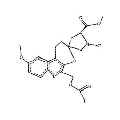 COC(=O)[C@@H]1CC2(CCc3c(c(COC(C)=O)nc4ccc(OC)cc34)O2)CN1Cl